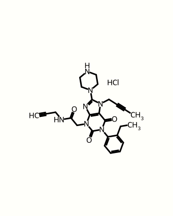 C#CCNC(=O)Cn1c(=O)n(-c2ccccc2CC)c(=O)c2c1nc(N1CCNCC1)n2CC#CC.Cl